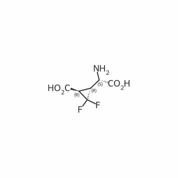 N[C@H](C(=O)O)[C@H]1[C@H](C(=O)O)C1(F)F